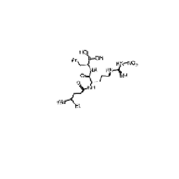 CCCCC(CC)CCC(=O)N[C@@H](CCCNC(=N)N[N+](=O)[O-])C(=O)N[C@@H](CC(C)C)B(O)O